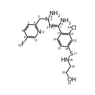 N/C(=N\N(N)Cc1ccc(F)cn1)c1ccc(SNCCO)cc1Cl